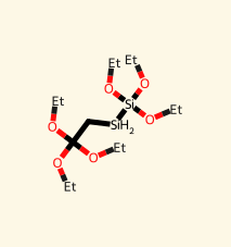 CCOC(C[SiH2][Si](OCC)(OCC)OCC)(OCC)OCC